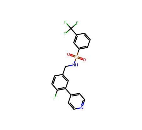 O=S(=O)(NCc1ccc(F)c(-c2ccncc2)c1)c1cccc(C(F)(F)F)c1